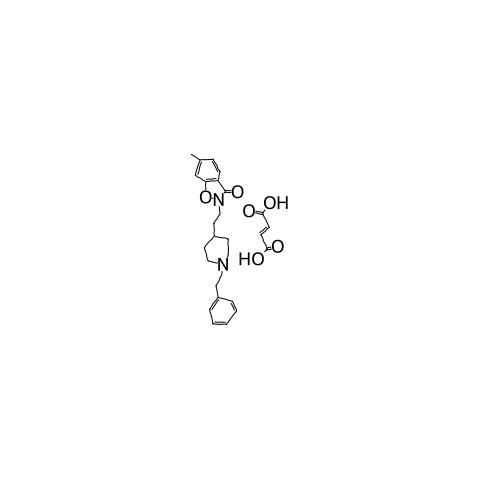 Cc1ccc2c(=O)n(CCC3CCN(CCc4ccccc4)CC3)oc2c1.O=C(O)/C=C/C(=O)O